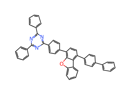 c1ccc(-c2ccc(-c3ccc(-c4ccc(-c5nc(-c6ccccc6)nc(-c6ccccc6)n5)cc4)c4oc5ccccc5c34)cc2)cc1